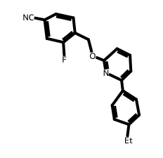 CCc1ccc(-c2cccc(OCc3ccc(C#N)cc3F)n2)cc1